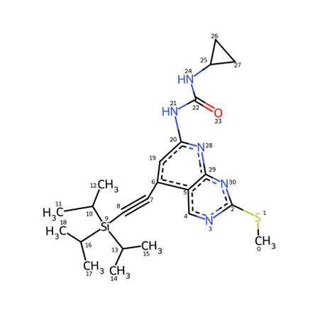 CSc1ncc2c(C#C[Si](C(C)C)(C(C)C)C(C)C)cc(NC(=O)NC3CC3)nc2n1